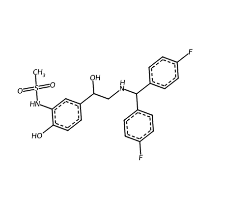 CS(=O)(=O)Nc1cc(C(O)CNC(c2ccc(F)cc2)c2ccc(F)cc2)ccc1O